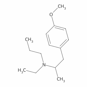 CCCN(CC)C(C)Cc1ccc(OC)cc1